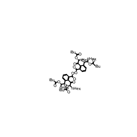 CCCCCCC(OC(=O)C(C)CC)C(=O)c1cccc(C(=O)OOC(=O)c2cccc(C(=O)C(CCCCCC)OC(=O)C(C)CC)c2C(=O)C(CCCCCC)OC(=O)C(C)CC)c1C(=O)C(CCCCCC)OC(=O)C(C)CC